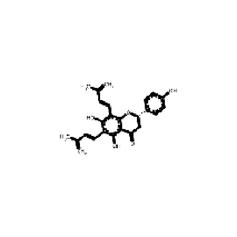 C=C(C)C=Cc1c(O)c(C=CC(=C)C)c2c(c1O)C(=O)C[C@@H](c1ccc(O)cc1)O2